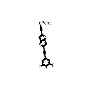 CCCCCC#Cc1cc2sc(C#Cc3cc(F)c(I)c(F)c3)cc2s1